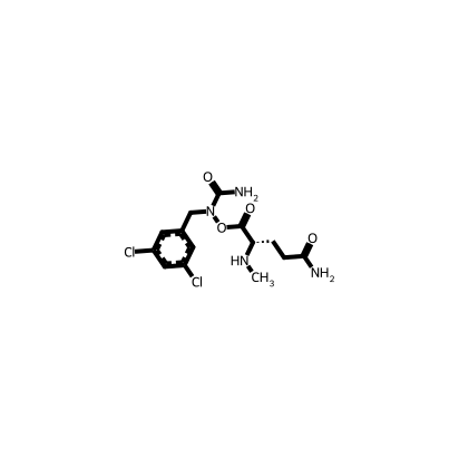 CN[C@@H](CCC(N)=O)C(=O)ON(Cc1cc(Cl)cc(Cl)c1)C(N)=O